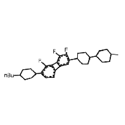 CCCCC1CCC(c2ccc3c(c2F)-c2c-3cc(C3CCC(C4CCC(C)CC4)CC3)c(F)c2F)CC1